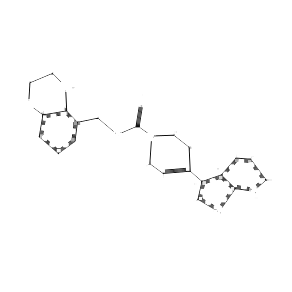 O=C(NCc1cccc2c1OCCO2)N1CC=C(c2c[nH]c3ncccc23)CC1